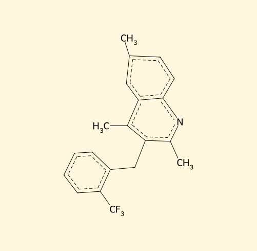 Cc1ccc2nc(C)c(Cc3ccccc3C(F)(F)F)c(C)c2c1